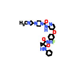 CN1CC(N2CCN(C(=O)Nc3cc(Oc4ccc(NC(=O)C5(C(=O)Nc6ccccc6)CC5)c(F)c4)ccn3)CC2)C1